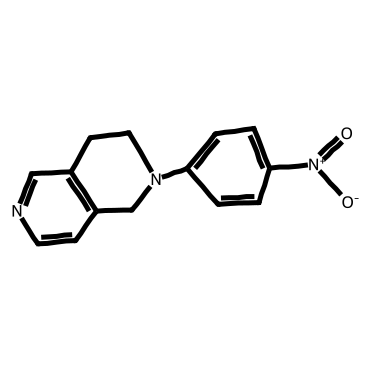 O=[N+]([O-])c1ccc(N2CCc3cnccc3C2)cc1